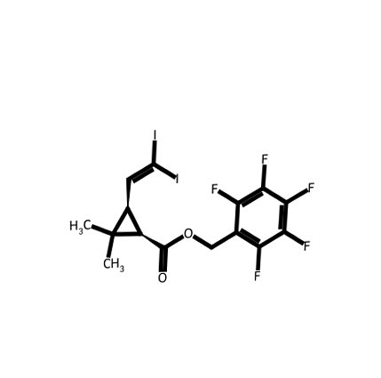 CC1(C)[C@H](C(=O)OCc2c(F)c(F)c(F)c(F)c2F)[C@@H]1C=C(I)I